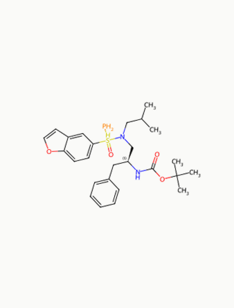 CC(C)CN(C[C@H](Cc1ccccc1)NC(=O)OC(C)(C)C)[SH](=O)(P)c1ccc2occc2c1